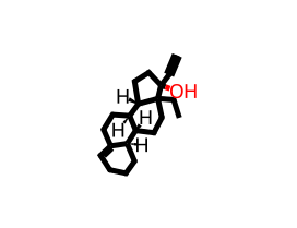 C#CC1(O)CC[C@H]2[C@@H]3CCC4=CCCC[C@@H]4[C@H]3CCC21CC